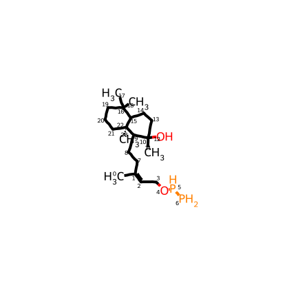 C/C(=C/COPP)CCC1C(C)(O)CCC2C(C)(C)CCC[C@@]21C